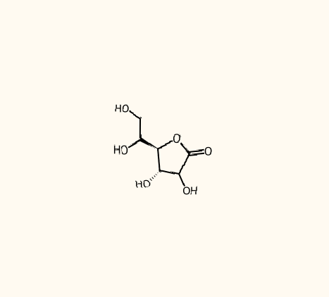 O=C1O[C@H](C(O)CO)[C@@H](O)C1O